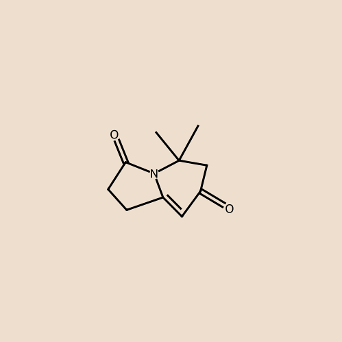 CC1(C)CC(=O)C=C2CCC(=O)N21